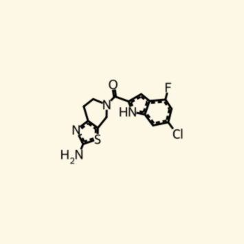 Nc1nc2c(s1)CN(C(=O)c1cc3c(F)cc(Cl)cc3[nH]1)CC2